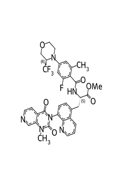 COC(=O)[C@H](Cc1ccc(-n2c(=O)c3ccncc3n(C)c2=O)c2ncccc12)NC(=O)c1c(C)cc(N2CCOC[C@@H]2C(F)(F)F)cc1F